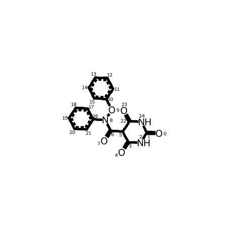 O=C1NC(=O)C(C(=O)N(Oc2ccccc2)c2ccccc2)C(=O)N1